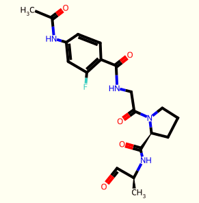 CC(=O)Nc1ccc(C(=O)NCC(=O)N2CCC[C@H]2C(=O)N[C@@H](C)C=O)c(F)c1